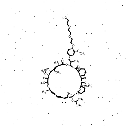 CO[C@@H]1C[C@H](C[C@@H](C)[C@@H]2CC(=O)[C@H](C)/C=C(\C)[C@@H](O)[C@@H](OC)C(=O)[C@H](C)C[C@H](C)/C=C/C=C/C=C(\C)[C@@H](OC(C)C)C[C@@H]3CC[C@@H](C)[C@@](O)(O3)C(=O)C(=O)N3CCCC[C@H]3C(=O)O2)CC[C@H]1OCCOCCOCCO